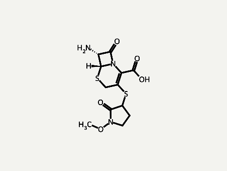 CON1CCC(SC2=C(C(=O)O)N3C(=O)[C@@H](N)[C@H]3SC2)C1=O